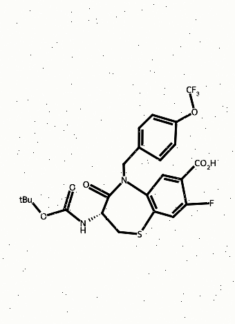 CC(C)(C)OC(=O)N[C@H]1CSc2cc(F)c(C(=O)O)cc2N(Cc2ccc(OC(F)(F)F)cc2)C1=O